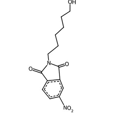 O=C1c2ccc([N+](=O)[O-])cc2C(=O)N1CCCCCCO